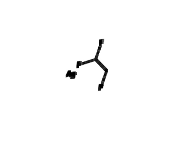 FCC(F)F.[Ag]